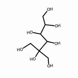 OCC(O)C(O)C(O)C(O)(CO)CO